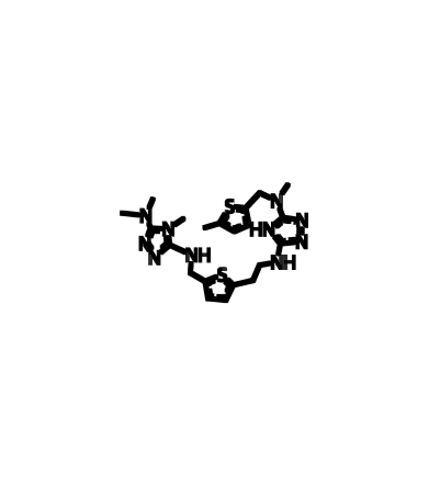 Cc1ccc(CN(C)c2nnc(NCCc3ccc(CNc4nnc(N(C)C)n4C)s3)[nH]2)s1